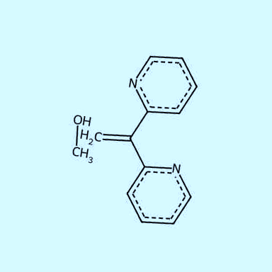 C=C(c1ccccn1)c1ccccn1.CO